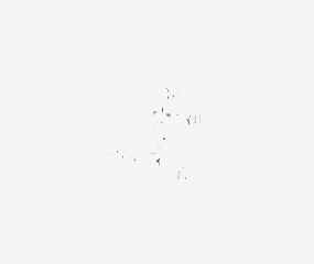 CC1(C)CC(COC(=O)c2ccc(C(=O)c3ccc(C(=O)OCC4CC(C)(C)NC4(C)C)c(C(=O)OCC4CC(C)(C)NC4(C)C)c3)cc2C(=O)OCC2CC(C)(C)NC2(C)C)C(C)(C)N1